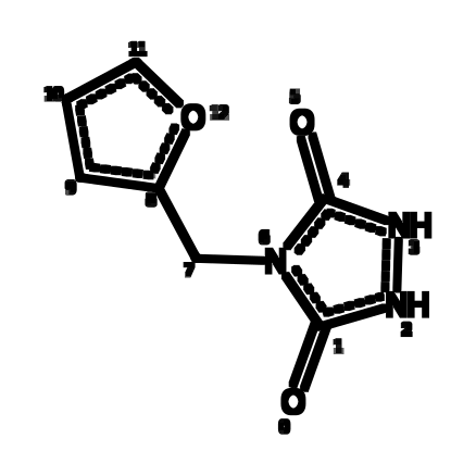 O=c1[nH][nH]c(=O)n1Cc1ccco1